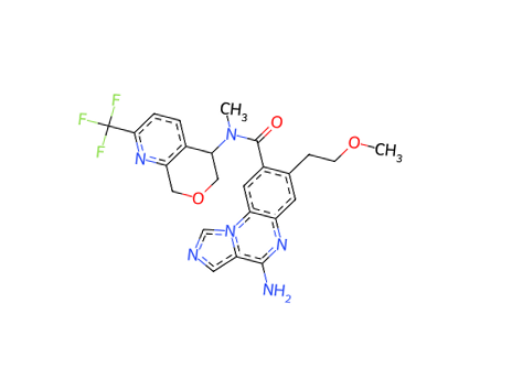 COCCc1cc2nc(N)c3cncn3c2cc1C(=O)N(C)C1COCc2nc(C(F)(F)F)ccc21